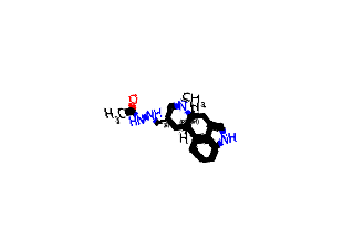 CC(=O)NNC[C@@H]1C[C@@H]2c3cccc4[nH]cc(c34)C[C@H]2N(C)C1